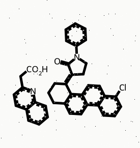 O=C(O)Cc1ccc2ccccc2n1.O=C1C(=C2CCCc3ccc4c(ccc5c(Cl)cccc54)c32)CCN1c1ccccc1